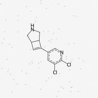 Clc1cc(C2=CC3CNCC23)cnc1Cl